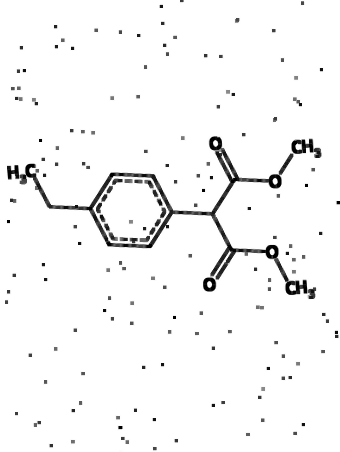 CCc1ccc(C(C(=O)OC)C(=O)OC)cc1